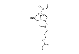 C=CC(=O)OCCCC(=O)OC1C2CC3C1OC(=O)C3C2C(=O)OC